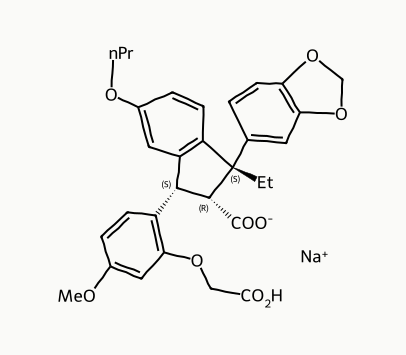 CCCOc1ccc2c(c1)[C@@H](c1ccc(OC)cc1OCC(=O)O)[C@@H](C(=O)[O-])[C@@]2(CC)c1ccc2c(c1)OCO2.[Na+]